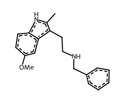 COc1ccc2[nH]c(C)c(CCNCc3ccccc3)c2c1